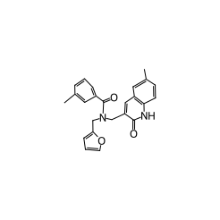 Cc1cccc(C(=O)N(Cc2ccco2)Cc2cc3cc(C)ccc3[nH]c2=O)c1